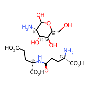 N[C@@H](CCC(=O)N[C@@H](CCC(=O)O)C(=O)O)C(=O)O.N[C@@H]1C(O)O[C@H](CO)[C@@H](O)[C@@H]1O